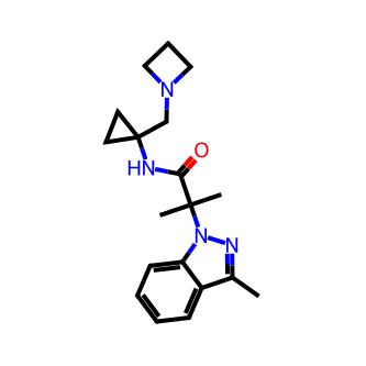 Cc1nn(C(C)(C)C(=O)NC2(CN3CCC3)CC2)c2ccccc12